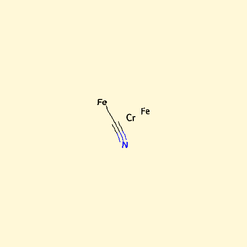 N#[C][Fe].[Cr].[Fe]